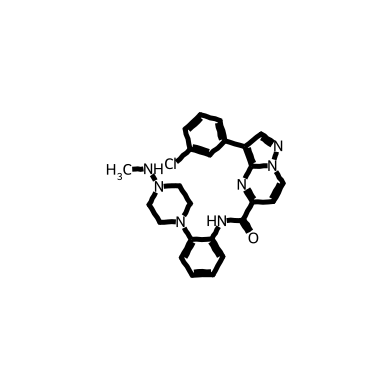 CNN1CCN(c2ccccc2NC(=O)c2ccn3ncc(-c4cccc(Cl)c4)c3n2)CC1